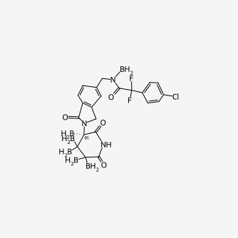 BN(Cc1ccc2c(c1)CN([C@@]1(B)C(=O)NC(=O)C(B)(B)C1(B)B)C2=O)C(=O)C(F)(F)c1ccc(Cl)cc1